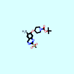 Bc1cc2cnc(S(C)(=O)=O)nc2cc1OC1CCN(C(=O)OC(C)(C)C)CC1